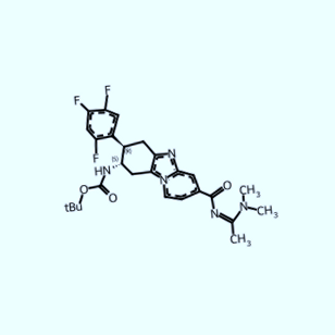 CC(=NC(=O)c1ccn2c3c(nc2c1)C[C@H](c1cc(F)c(F)cc1F)[C@@H](NC(=O)OC(C)(C)C)C3)N(C)C